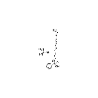 CCCCCCCCCCCCOP(=O)(O)c1ccccc1.N=C(N)S